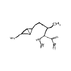 CC(C)NC(C(=O)C(C)C)C(C)CC1C2C(C(C)C)C12